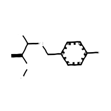 CCc1ccc(CNC(C)C(=O)OC(C)(C)C)cc1